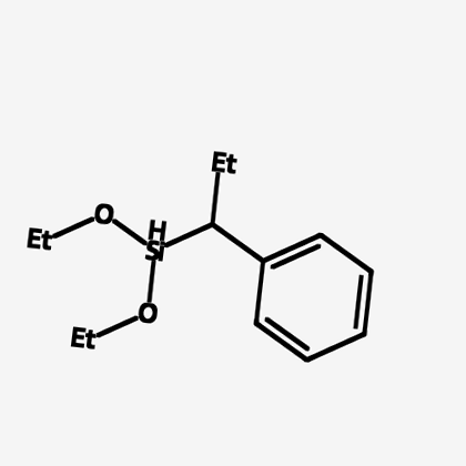 CCO[SiH](OCC)C(CC)c1ccccc1